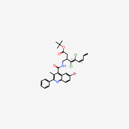 C=C/C=C\C(Cl)=C(/Cl)C(CNC(=O)c1c(C)c(-c2ccccc2)nc2ccc(Br)cc12)CC(=O)OC(C)(C)C